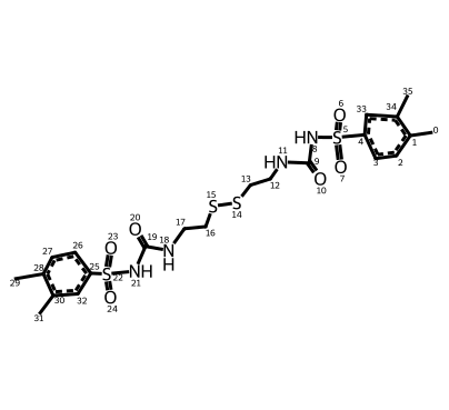 Cc1ccc(S(=O)(=O)NC(=O)NCCSSCCNC(=O)NS(=O)(=O)c2ccc(C)c(C)c2)cc1C